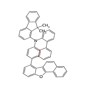 CC1(C)c2ccccc2-c2cccc(N(c3ccc(-c4cccc5oc6c7ccccc7ccc6c45)cc3)c3ccccc3-c3ccccc3)c21